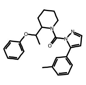 Cc1cccc(-c2ccnn2C(=O)N2CCCCC2C(C)Oc2ccccc2)c1